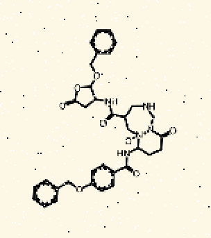 O=C1CC(NC(=O)C2CNCN3C(=O)CCC(NC(=O)c4ccc(OCc5ccccc5)cc4)[N+]3([O-])C2)C(OCc2ccccc2)O1